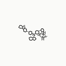 C[C@H]1C[C@@H]2C[C@H](C1)C1(c3ccccc3-c3ccc(N(c4ccc(-c5ccc6c(c5)sc5ccccc56)cc4)c4cccc5ccccc45)cc31)[C@H](C)C2